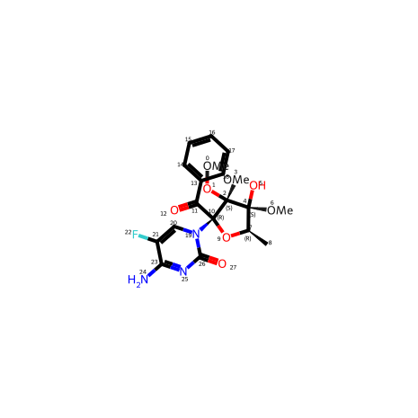 COO[C@]1(OC)[C@@](O)(OC)[C@@H](C)O[C@@]1(C(=O)c1ccccc1)n1cc(F)c(N)nc1=O